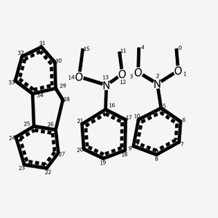 CON(OC)c1ccccc1.CON(OC)c1ccccc1.c1ccc2c(c1)Cc1ccccc1-2